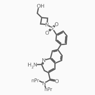 CCCN(CCC)C(=O)C1=Cc2ccc(-c3cccc(S(=O)(=O)N4CC(CO)C4)c3)cc2N=C(N)C1